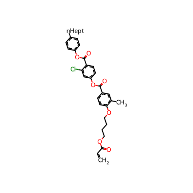 C=CC(=O)OCCCCOc1ccc(C(=O)Oc2ccc(C(=O)Oc3ccc(CCCCCCC)cc3)c(Cl)c2)cc1C